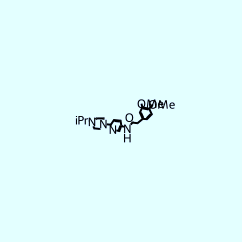 COc1ccc(CC(=O)Nc2ccc(N3CCN(C(C)C)CC3)nc2)cc1OC